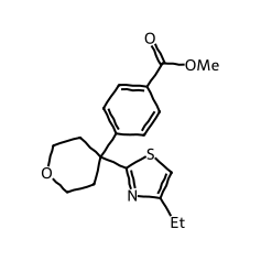 CCc1csc(C2(c3ccc(C(=O)OC)cc3)CCOCC2)n1